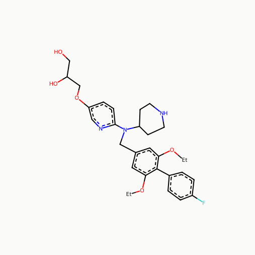 CCOc1cc(CN(c2ccc(OCC(O)CO)cn2)C2CCNCC2)cc(OCC)c1-c1ccc(F)cc1